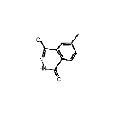 Cc1ccc2c(=O)[nH]nc(Cl)c2c1